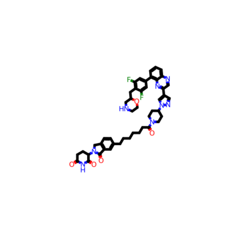 O=C1CCC(N2Cc3ccc(CCCCCCC(=O)N4CCC(n5cc(-c6cnc7cccc(-c8cc(F)c(CC9CNCCO9)c(F)c8)c7n6)cn5)CC4)cc3C2=O)C(=O)N1